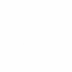 CC1=CC(C(F)(F)F)=CC=CC1F